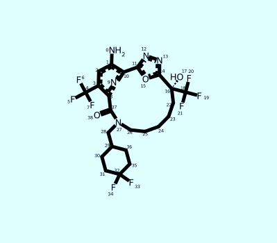 Nc1cc(C(F)(F)F)c2nc1-c1nnc(o1)[C@@](O)(C(F)(F)F)CCCCCN(CC1CCC(F)(F)CC1)C2=O